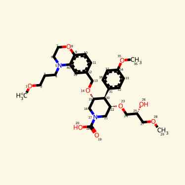 COCCCN1CCOc2ccc(CO[C@H]3CN(C(=O)O)C[C@@H](OC[C@H](O)COC)[C@@H]3c3ccc(OC)cc3)cc21